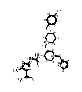 CC(=O)c1sc(NC(=O)N[C@@H]2CCN(Cc3ccco3)C[C@H]2CN2CCC[C@@H](Cc3ccc(F)cc3)C2)nc1C